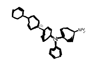 NC1C=CC(N(c2ccccc2)C2C=CC([C@@H]3C=CC(C4C=CCCC4)CC3)=CC2)=CC1